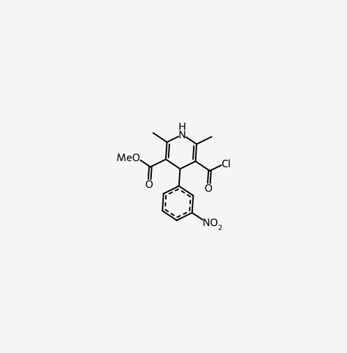 COC(=O)C1=C(C)NC(C)=C(C(=O)Cl)C1c1cccc([N+](=O)[O-])c1